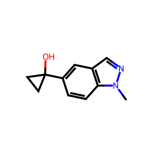 Cn1ncc2cc(C3(O)CC3)ccc21